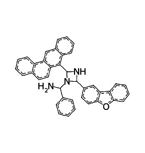 NC(c1ccccc1)N1C(c2ccc3oc4ccccc4c3c2)NC1c1c2ccccc2cc2c1ccc1ccccc12